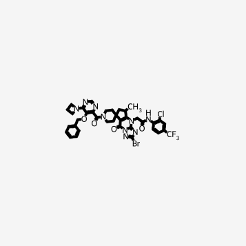 CC1CC2(CCN(C(=O)c3ncnc(N4CCC4)c3OCc3ccccc3)CC2)c2c1n(CC(=O)Nc1ccc(C(F)(F)F)cc1Cl)c1nc(Br)nn1c2=O